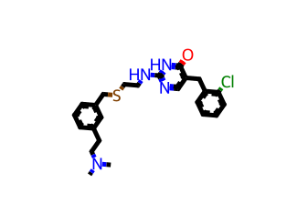 CN(C)CCc1cccc(CSCCNc2ncc(Cc3ccccc3Cl)c(=O)[nH]2)c1